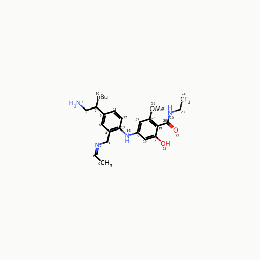 C/C=N\Cc1cc(C(CN)CCCC)ccc1Nc1cc(O)c(C(=O)NCC(F)(F)F)c(OC)c1